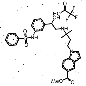 COC(=O)c1ccc2c(ccn2CCC(C)(C)NCC(O)c2cccc(NS(=O)(=O)c3ccccc3)c2)c1.O=C(O)C(F)(F)F